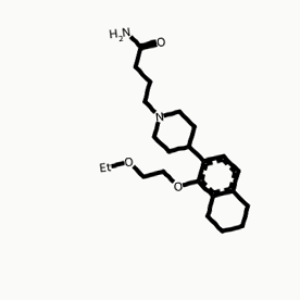 CCOCCOc1c(C2CCN(CCCC(N)=O)CC2)ccc2c1CCCC2